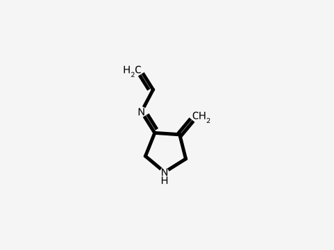 C=C/N=C1/CNCC1=C